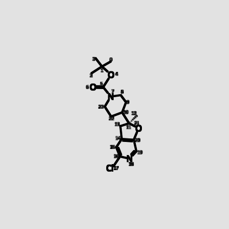 CC(C)(C)OC(=O)N1CCC([C@]2(C)Cc3cc(Cl)ncc3O2)CC1